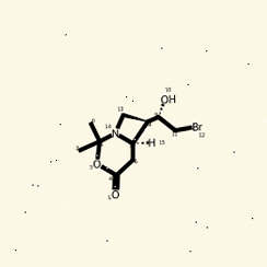 CC1(C)OC(=O)C[C@@H]2[C@H]([C@H](O)CBr)CN21